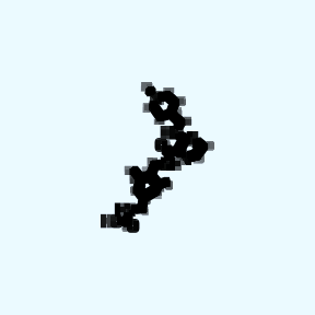 Cc1cc(CNC(=O)O)cc(C)c1CNC(=O)c1nccnc1NCC1CCN(C)CC1